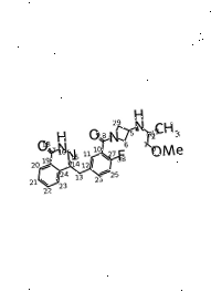 COC[C@@H](C)NC1CN(C(=O)c2cc(Cc3n[nH]c(=O)c4ccccc34)ccc2F)C1